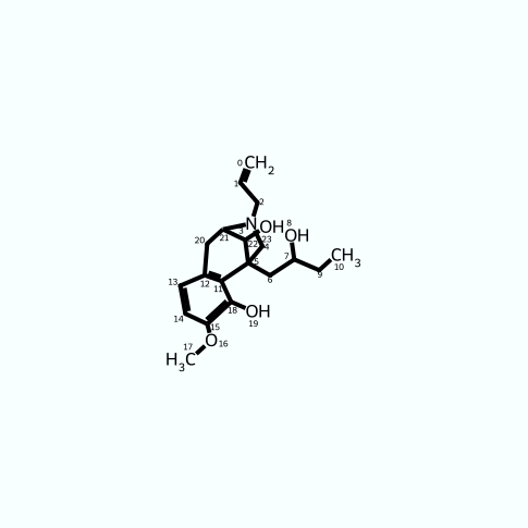 C=CCN1CC2(CC(O)CC)c3c(ccc(OC)c3O)CC1C2O